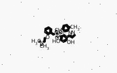 Cc1ccccc1-n1nccc1-c1cc(S(=O)(=O)N(C)Cc2ccccc2OCCN(C)C)c(O)cc1O